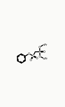 CCCOP(=O)(CS(=O)(=O)Oc1ccccc1)OCCC